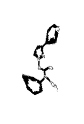 CN(C(=O)On1ccc(-c2ccsc2)n1)c1ccccc1